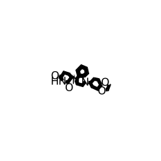 O=C1CC[C@@H](N2CCN(C3CCC4(CC3)OCCO4)c3ccccc32)C(=O)N1